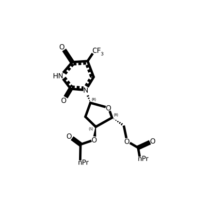 CCCC(=O)OC[C@H]1O[C@@H](n2cc(C(F)(F)F)c(=O)[nH]c2=O)C[C@@H]1OC(=O)CCC